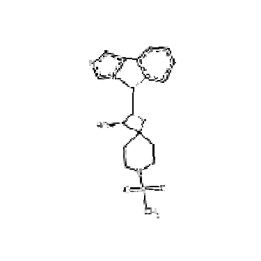 CS(=O)(=O)N1CCC2(CC1)C[C@@H]([C@H]1c3ccccc3-c3cncn31)[C@@H]2O